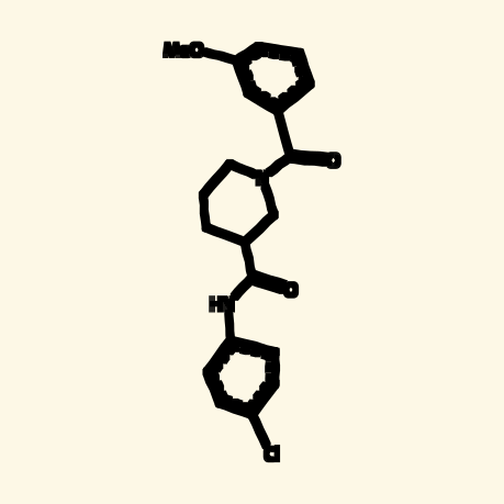 COc1cccc(C(=O)N2CCCC(C(=O)Nc3ccc(Cl)cc3)C2)c1